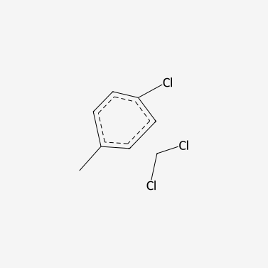 Cc1ccc(Cl)cc1.ClCCl